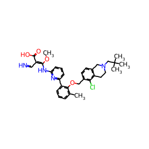 CO/C(Nc1cccc(-c2cccc(C)c2OCc2ccc3c(c2Cl)CCN(CC(C)(C)C)C3)n1)=C(/C=N)C(=O)O